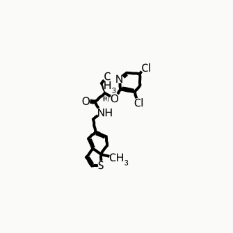 CC[C@@H](OC1=C(Cl)CC(Cl)C=N1)C(=O)NCC1=CCC2(C)SC=CC2=C1